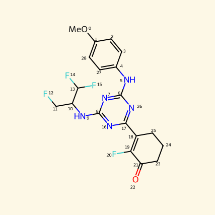 COc1ccc(Nc2nc(NC(CF)C(F)F)nc(C3=C(F)C(=O)CCC3)n2)cc1